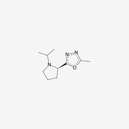 Cc1nnc([C@H]2CCCN2C(C)C)o1